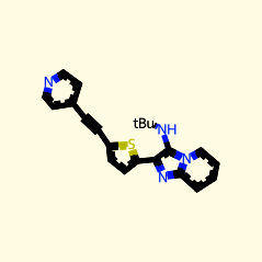 CC(C)(C)Nc1c(-c2ccc(C#Cc3ccncc3)s2)nc2ccccn12